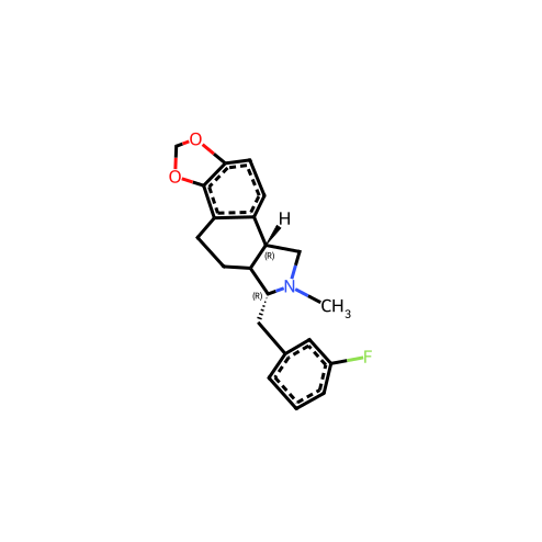 CN1C[C@H]2c3ccc4c(c3CCC2[C@H]1Cc1cccc(F)c1)OCO4